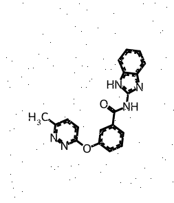 Cc1ccc(Oc2cccc(C(=O)Nc3nc4ccccc4[nH]3)c2)nn1